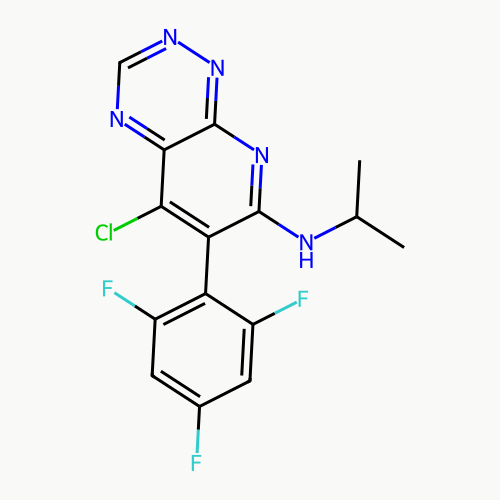 CC(C)Nc1nc2nncnc2c(Cl)c1-c1c(F)cc(F)cc1F